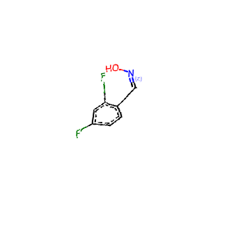 O/N=C\c1ccc(F)[c]c1F